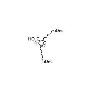 CCCCCCCCCCCCCCCC(=O)NC(C(=O)O)C(=O)CCCCCCCCCCCCCCC